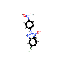 O=[N+]([O-])c1ccc(-n2nc3cc(Cl)ccc3[n+]2[O-])cc1